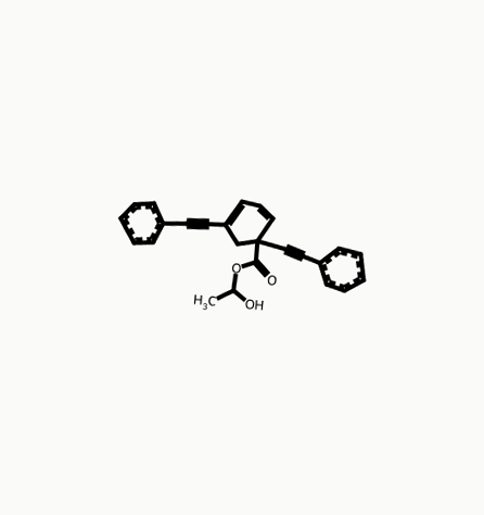 CC(O)OC(=O)C1(C#Cc2ccccc2)C=CC=C(C#Cc2ccccc2)C1